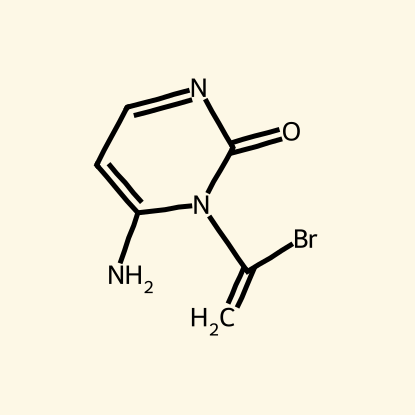 C=C(Br)n1c(N)ccnc1=O